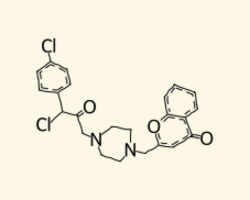 O=C(CN1CCN(Cc2cc(=O)c3ccccc3o2)CC1)C(Cl)c1ccc(Cl)cc1